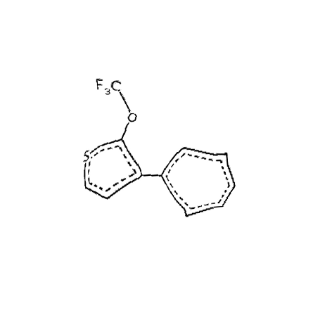 FC(F)(F)Oc1sccc1-c1ccccc1